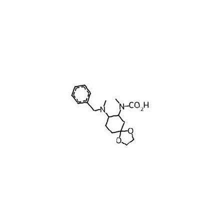 CN(Cc1ccccc1)C1CCC2(CC1N(C)C(=O)O)OCCO2